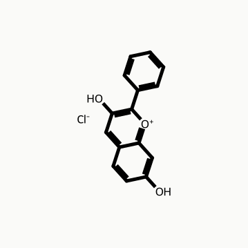 Oc1ccc2cc(O)c(-c3ccccc3)[o+]c2c1.[Cl-]